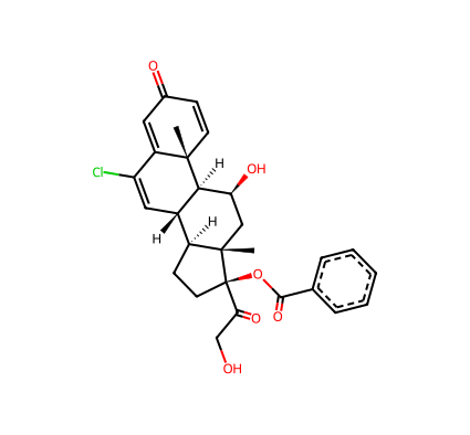 C[C@]12C=CC(=O)C=C1C(Cl)=C[C@@H]1[C@@H]2[C@@H](O)C[C@@]2(C)[C@H]1CC[C@@]2(OC(=O)c1ccccc1)C(=O)CO